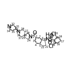 O=C(c1ccc2c(c1)C(NS(=O)(=O)c1c(Cl)cccc1Cl)CC2)N1CCC2(CCN(c3ccncc3)CC2)C1